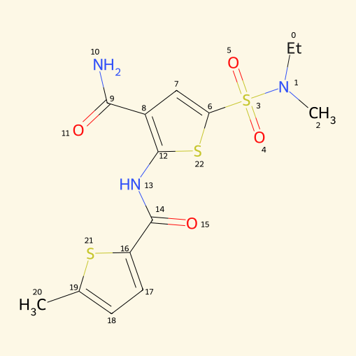 CCN(C)S(=O)(=O)c1cc(C(N)=O)c(NC(=O)c2ccc(C)s2)s1